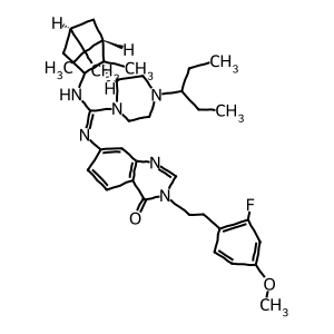 CCC(CC)N1CCN(C(=Nc2ccc3c(=O)n(CCc4ccc(OC)cc4F)cnc3c2)NC2C[C@H]3C[C@H]([C@H]2C)C3(C)C)CC1